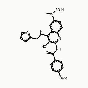 COc1ccc(C(=O)Nc2nc3ccc(N(C)S(=O)(=O)O)cc3c(NCc3cccs3)c2C#N)cc1